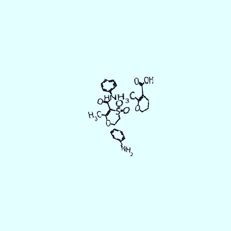 CC1=C(C(=O)Nc2ccccc2)S(=O)(=O)CCO1.CC1=C(C(=O)O)CCCO1.Nc1ccccc1